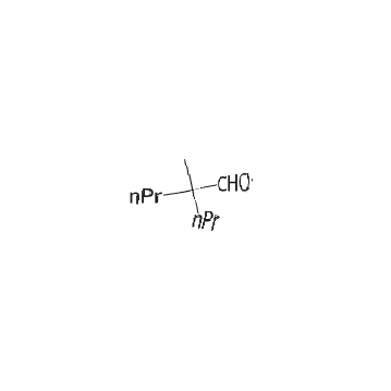 CCCC(C)([C]=O)CCC